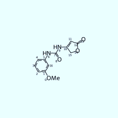 COc1cccc(NC(=O)NC2=CC(=O)OC2)c1